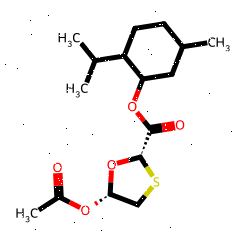 CC(=O)O[C@H]1CS[C@@H](C(=O)OC2CC(C)CCC2C(C)C)O1